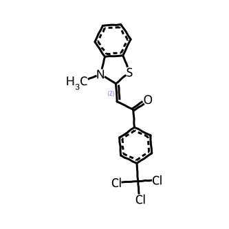 CN1/C(=C/C(=O)c2ccc(C(Cl)(Cl)Cl)cc2)Sc2ccccc21